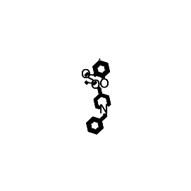 CS(=O)(=O)c1c[c]ccc1OCC1CCN(Cc2ccccc2)CC1